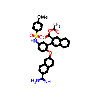 COc1ccc(S(=O)(=O)Nc2ccc(Oc3ccc4cc(C(=N)N)ccc4c3)c(-c3cc4ccccc4cc3C(=O)OC(=O)C(F)(F)F)c2)cc1